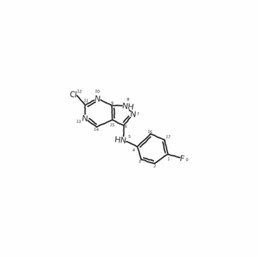 Fc1ccc(Nc2n[nH]c3nc(Cl)ncc23)cc1